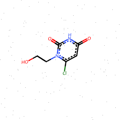 O=c1cc(Cl)n(CCO)c(=O)[nH]1